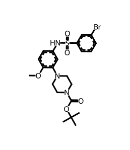 COc1ccc(NS(=O)(=O)c2cccc(Br)c2)cc1N1CCN(C(=O)OC(C)(C)C)CC1